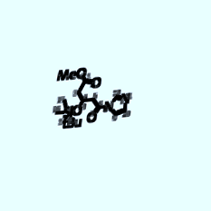 COC(=O)CC(CC(=O)n1ccnc1)O[Si](C)(C)C(C)(C)C